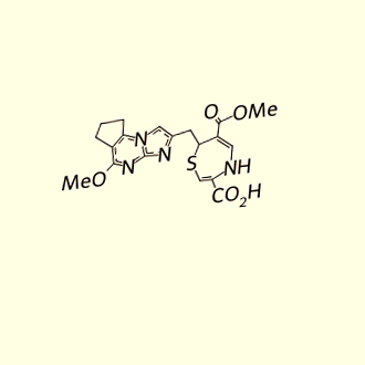 COC(=O)C1=CNC(C(=O)O)=CSC1Cc1cn2c3c(c(OC)nc2n1)CCC3